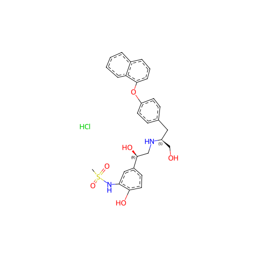 CS(=O)(=O)Nc1cc([C@@H](O)CN[C@H](CO)Cc2ccc(Oc3cccc4ccccc34)cc2)ccc1O.Cl